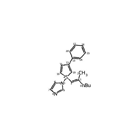 CCCCC(C)=CS1(n2ccnc2)C=CC(c2ccccc2)=C1